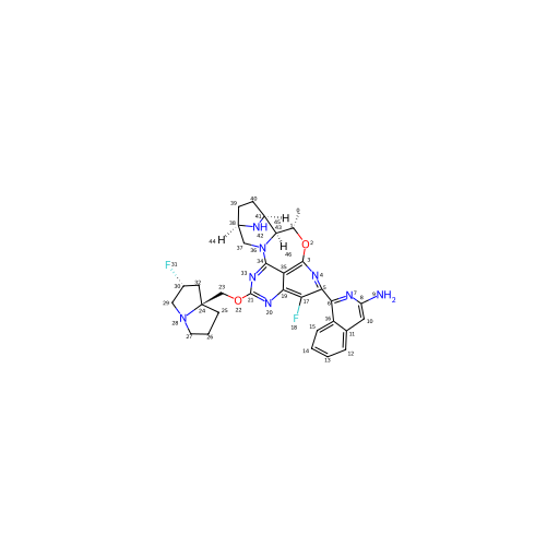 C[C@@H]1Oc2nc(-c3nc(N)cc4ccccc34)c(F)c3nc(OC[C@@]45CCCN4C[C@H](F)C5)nc(c23)N2C[C@H]3CC[C@H](N3)[C@@H]12